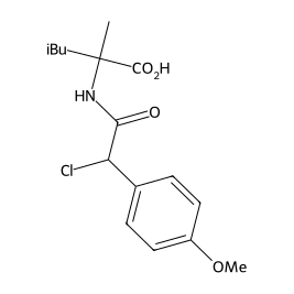 CCC(C)C(C)(NC(=O)C(Cl)c1ccc(OC)cc1)C(=O)O